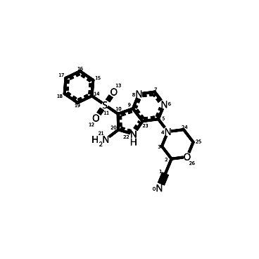 N#CC1CN(c2ncnc3c(S(=O)(=O)c4ccccc4)c(N)[nH]c23)CCO1